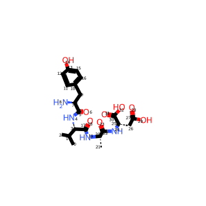 CC(C)[C@H](NC(=O)[C@@H](N)Cc1ccc(O)cc1)C(=O)N[C@@H](C)C(=O)N[C@@H](CC(=O)O)C(=O)O